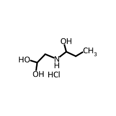 CCC(O)NCC(O)O.Cl